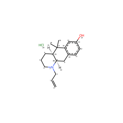 C=CCN1CCC[C@@H]2[C@H]1Cc1ccc(O)cc1C2(C)C.Cl